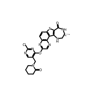 C[C@@H]1CNc2c(sc3ccc4nc(Oc5nc(Cl)ncc5CN5CCCCC5=O)cnc4c23)C(=O)N1